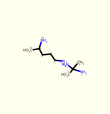 CC(N)(N)C(=O)O.NCCCC(N)C(=O)O